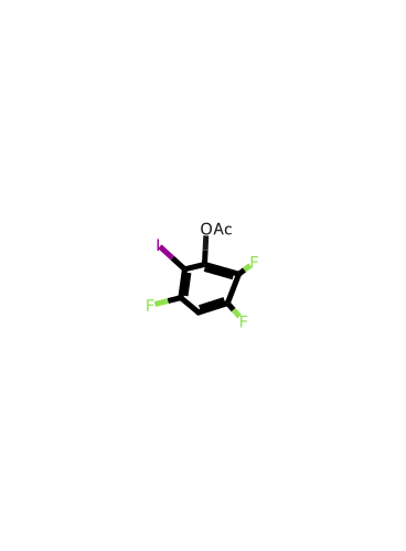 CC(=O)Oc1c(F)c(F)cc(F)c1I